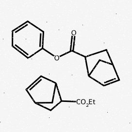 CCOC(=O)C1CC2C=CC1C2.O=C(Oc1ccccc1)C1CC2C=CC1C2